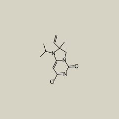 C=CC1(C)Cn2c(cc(Cl)nc2=O)N1C(C)C